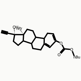 C#C[C@]1(O)CCC2C3CCC4=CC(OC(=O)OCCCC)=CCC4C3CC[C@@]21CCC